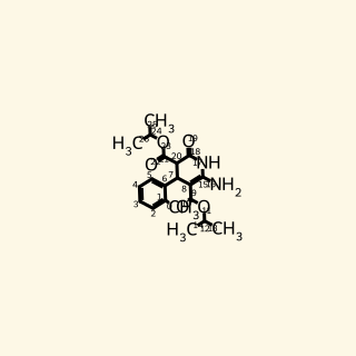 Cc1ccccc1C1C(C(=O)OC(C)C)=C(N)NC(=O)C1C(=O)OC(C)C